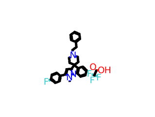 Cn1nc(C2(c3ccccc3)CCN(CCc3ccccc3)CC2)cc1-c1ccc(F)cc1.O=C(O)C(F)(F)F